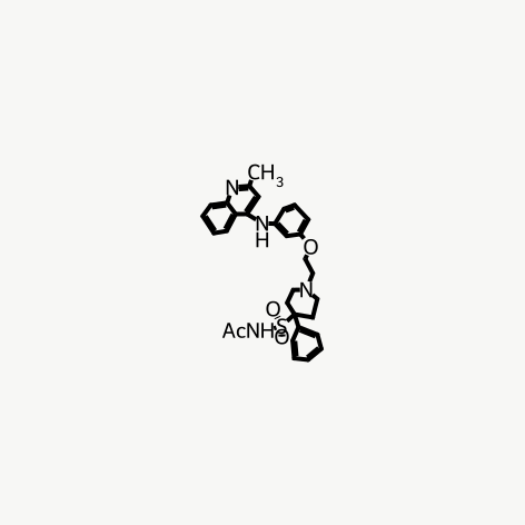 CC(=O)NS(=O)(=O)C1(c2ccccc2)CCN(CCOc2cccc(Nc3cc(C)nc4ccccc34)c2)CC1